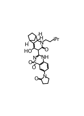 CC(C)CCN1C(=O)C(C2=NS(=O)(=O)c3cc(N4CCCC4=O)ccc3N2)C(O)=C2[C@H]3CC[C@H](C3)[C@@H]21